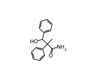 CC(C(N)=O)(c1ccccc1)C(O)c1ccccc1